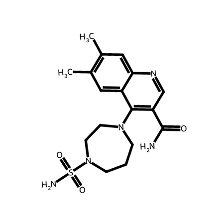 Cc1cc2ncc(C(N)=O)c(N3CCCN(S(N)(=O)=O)CC3)c2cc1C